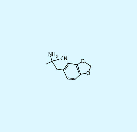 CC(N)(C#N)Cc1ccc2c(c1)OCO2